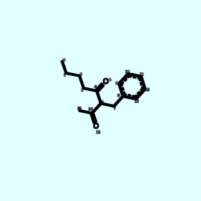 CCCCC(=O)C(Cc1ccccc1)C(C)=O